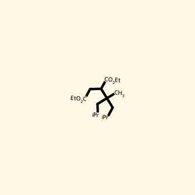 CCOC(=O)CC(C(=O)OCC)C(C)(CC(C)C)CC(C)C